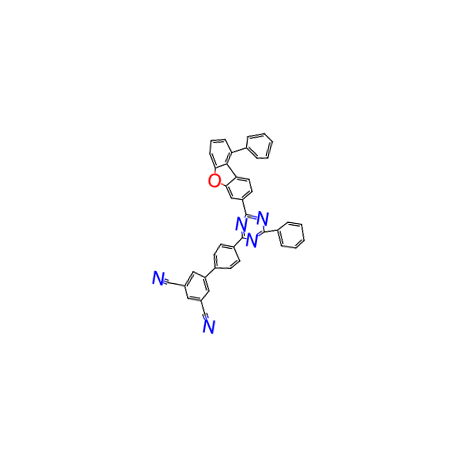 N#Cc1cc(C#N)cc(-c2ccc(-c3nc(-c4ccccc4)nc(-c4ccc5c(c4)oc4cccc(-c6ccccc6)c45)n3)cc2)c1